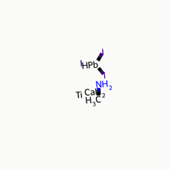 CN.[CaH2].[I][PbH]([I])[I].[Ti]